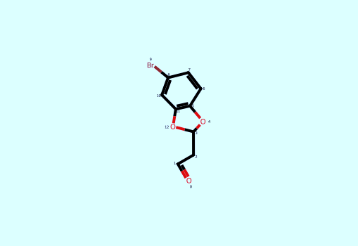 O=CCC1Oc2ccc(Br)cc2O1